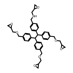 c1cc(C(c2ccc(COCC3CO3)cc2)C(c2ccc(COCC3CO3)cc2)c2ccc(COCC3CO3)cc2)ccc1CNCC1CO1